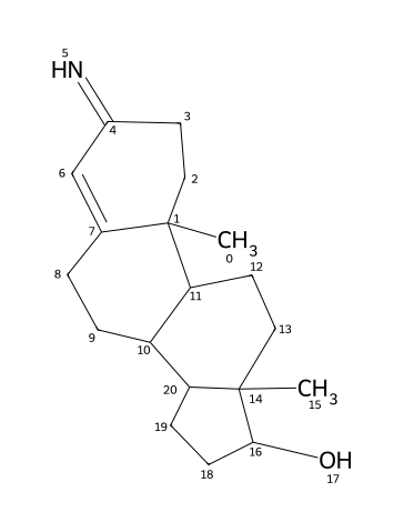 CC12CCC(=N)C=C1CCC1C2CCC2(C)C(O)CCC12